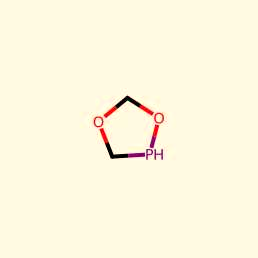 C1OCPO1